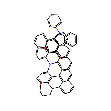 c1ccc(-c2cccc3cccc(-c4ccccc4N(c4ccccc4-c4cccc5cccc(C6CCCCC6)c45)c4ccccc4-c4cccc5c4c4ccccc4n5-c4ccccc4)c23)cc1